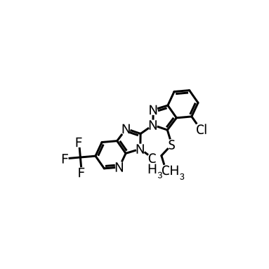 CCSc1c2c(Cl)cccc2nn1-c1nc2cc(C(F)(F)F)cnc2n1C